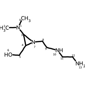 CN(C)C1C(CO)N1CCNCCN